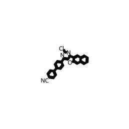 N#Cc1ccc(-c2ccc(-c3nc(Cl)nc4c3oc3cc5ccccc5cc34)cc2)cc1